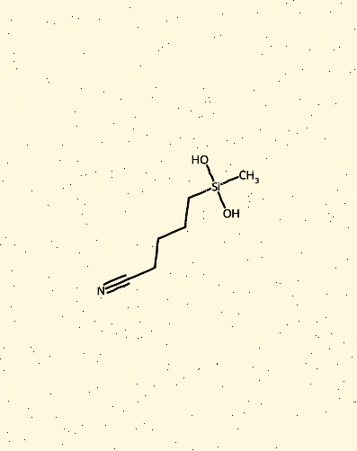 C[Si](O)(O)CCCCC#N